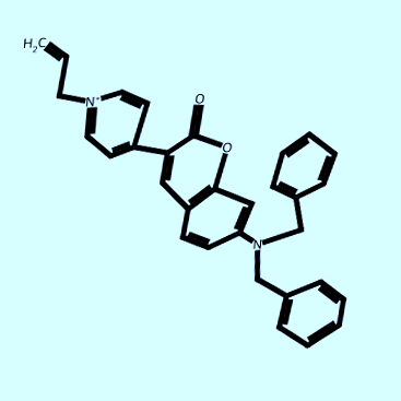 C=CC[n+]1ccc(-c2cc3ccc(N(Cc4ccccc4)Cc4ccccc4)cc3oc2=O)cc1